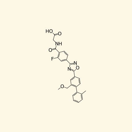 COCc1cc(-c2nc(-c3ccc(C(=O)NCC(=O)O)c(F)c3)no2)ccc1-c1ccccc1C